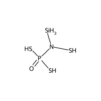 O=P(S)(S)N([SiH3])S